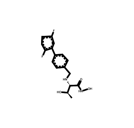 C[C@@H](O)[C@H](NCc1ccc(-c2cc(F)ccc2F)cc1)C(=O)NO